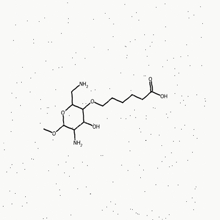 COC1OC(CN)C(OCCCCCC(=O)O)C(O)C1N